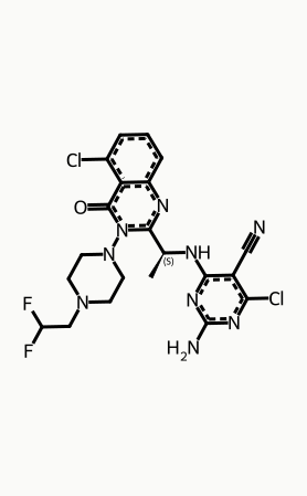 C[C@H](Nc1nc(N)nc(Cl)c1C#N)c1nc2cccc(Cl)c2c(=O)n1N1CCN(CC(F)F)CC1